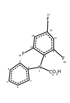 O=C(O)N(c1ccccc1)c1c(F)cc(F)cc1F